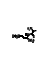 CC(N)C(=O)NC(CCC(=O)O)C(=O)O